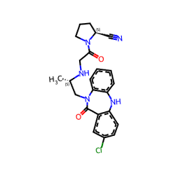 C[C@@H](CN1C(=O)c2cc(Cl)ccc2Nc2ccccc21)NCC(=O)N1CCC[C@H]1C#N